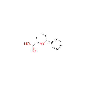 CCC(OC(C)C(=O)O)c1ccccc1